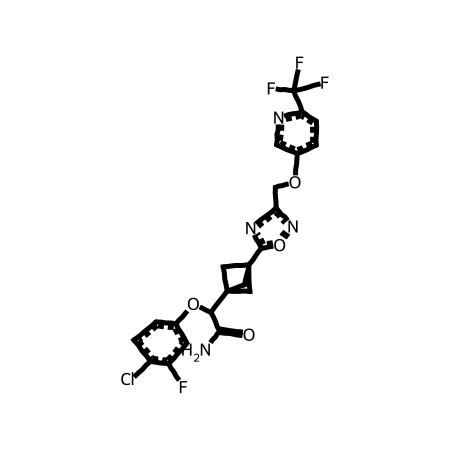 NC(=O)C(Oc1ccc(Cl)c(F)c1)C12CC(c3nc(COc4ccc(C(F)(F)F)nc4)no3)(C1)C2